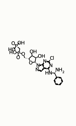 N[C@@H](Nc1nc(Cl)nc2c1cnn2[C@@H]1O[C@H](COP(=O)(O)CP(=O)(O)O)[C@@H](O)[C@H]1O)c1ccccc1